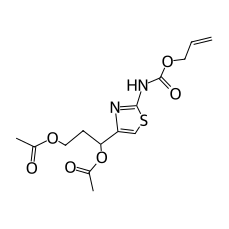 C=CCOC(=O)Nc1nc(C(CCOC(C)=O)OC(C)=O)cs1